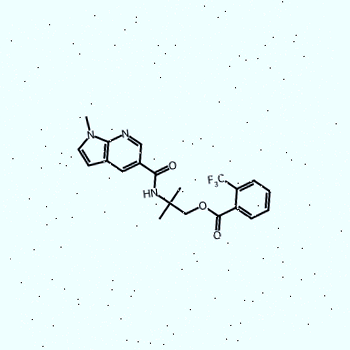 Cn1ccc2cc(C(=O)NC(C)(C)COC(=O)c3ccccc3C(F)(F)F)cnc21